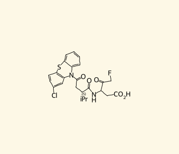 CC(C)[C@H](CC(=O)N1c2ccccc2Sc2ccc(Cl)cc21)C(=O)NC(CC(=O)O)C(=O)CF